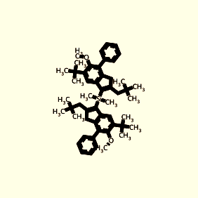 COc1c(C(C)(C)C)cc2c(c1-c1ccccc1)CC(CC(C)(C)C)=C2[Si](C)(C)C1=C(CC(C)(C)C)Cc2c1cc(C(C)(C)C)c(OC)c2-c1ccccc1